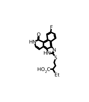 CCC(CCSc1nc2c3ccc(F)cc3c3c(=O)[nH]ccc3c2[nH]1)C(=O)O